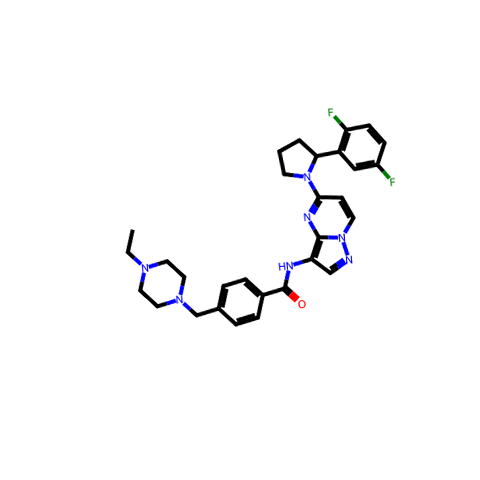 CCN1CCN(Cc2ccc(C(=O)Nc3cnn4ccc(N5CCCC5c5cc(F)ccc5F)nc34)cc2)CC1